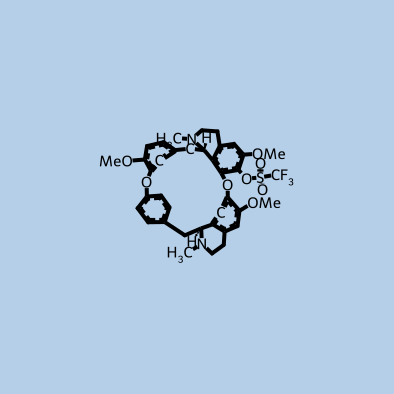 COc1ccc2cc1Oc1ccc(cc1)C[C@H]1c3cc(c(OC)cc3CCN1C)Oc1c(OS(=O)(=O)C(F)(F)F)c(OC)cc3c1[C@H](C2)N(C)CC3